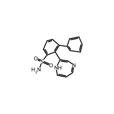 NS(=O)(=O)c1cccc(-c2ccccc2)c1C1=CN=CC=CN1